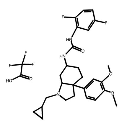 COc1ccc(C23CCC(NC(=O)Nc4cc(F)ccc4F)CC2N(CC2CC2)CC3)cc1OC.O=C(O)C(F)(F)F